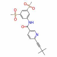 CC(C)(C)C#Cc1ccc(C(=O)Nc2cc(S(C)(=O)=O)cc(S(C)(=O)=O)c2)cn1